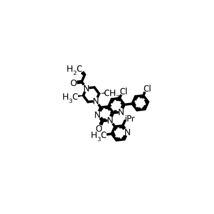 C=CC(=O)N1C[C@H](C)N(c2nc(=O)n(-c3c(C)ccnc3C(C)C)c3nc(-c4cccc(Cl)c4)c(Cl)cc23)C[C@H]1C